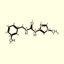 Cn1cnc(NC(=O)NCc2cccc(O)c2)c1